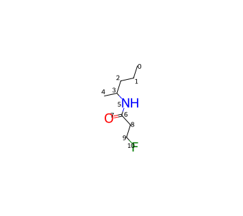 CCCC(C)NC(=O)CCF